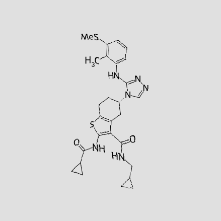 CSc1cccc(Nc2nncn2[C@H]2CCc3sc(NC(=O)C4CC4)c(C(=O)NCC4CC4)c3C2)c1C